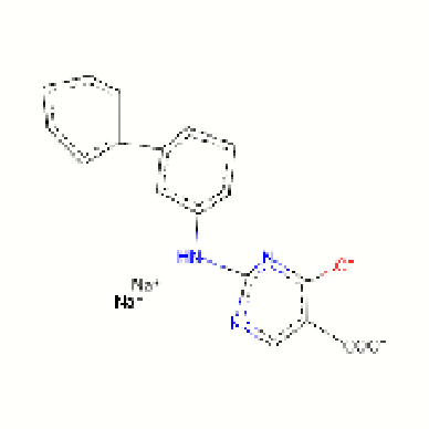 O=C([O-])c1cnc(Nc2cccc(-c3ccccc3)c2)nc1[O-].[Na+].[Na+]